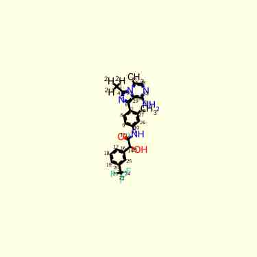 [2H]C([2H])([2H])c1nc(-c2ccc(NC(=O)C(O)c3cccc(C(F)(F)F)c3)cc2C)c2c(N)ncc(C)n12